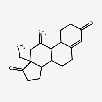 C=C1CC2(CC)C(=O)CCC2C2CCC3=CC(=O)CCC3C12